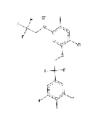 Cc1cc(Cl)c(OCC(F)(F)c2cc(F)c(F)c(F)c2)cc1[S+]([O-])CC(F)(F)F